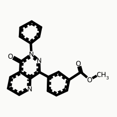 COC(=O)c1cccc(-c2nn(-c3ccccc3)c(=O)c3cccnc23)c1